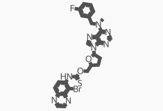 CN(Cc1cccc(F)c1)c1ncnc2c1ncn2C1CCC(COC(=S)Nc2ccc3nccnc3c2Br)O1